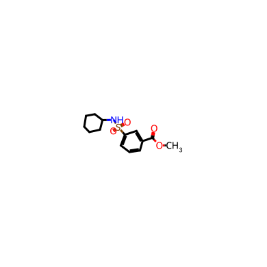 COC(=O)c1cccc(S(=O)(=O)NC2CCCCC2)c1